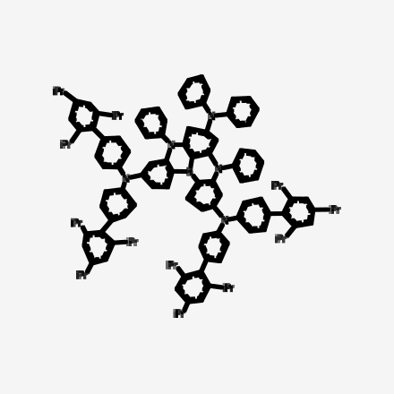 CC(C)c1cc(C(C)C)c(-c2ccc(N(c3ccc(-c4c(C(C)C)cc(C(C)C)cc4C(C)C)cc3)c3ccc4c(c3)N(c3ccccc3)c3cc(N(c5ccccc5)c5ccccc5)cc5c3B4c3ccc(N(c4ccc(-c6c(C(C)C)cc(C(C)C)cc6C(C)C)cc4)c4ccc(-c6c(C(C)C)cc(C(C)C)cc6C(C)C)cc4)cc3N5c3ccccc3)cc2)c(C(C)C)c1